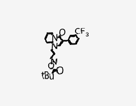 CC(C)(C)C(=O)O/N=C/CCn1cc(-c2cccc(C(F)(F)F)c2)c(=O)[n+]2ccccc12